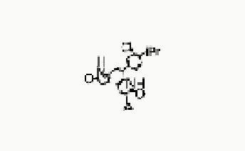 CC(C)c1ccc(C(C[C@H]2CCC(=O)N2)c2ccc(C3CC3)c(=O)[nH]2)cc1Cl